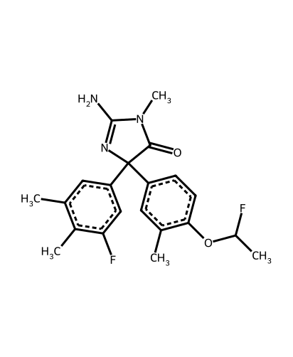 Cc1cc(C2(c3cc(C)c(C)c(F)c3)N=C(N)N(C)C2=O)ccc1OC(C)F